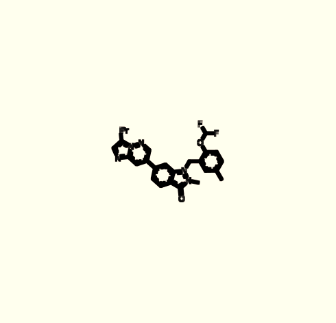 Cc1ccc(OC(F)F)c(Cn2c3cc(-c4cnn5c(C(C)C)cnc5c4)ccc3c(=O)n2C)c1